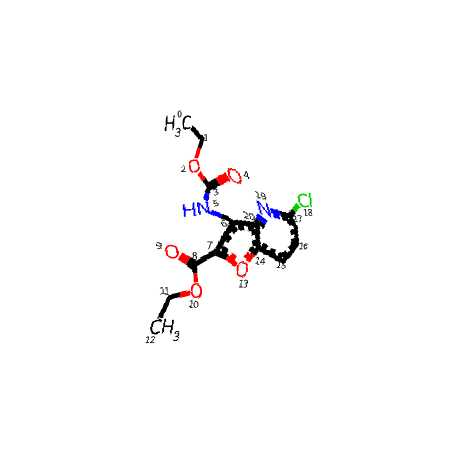 CCOC(=O)Nc1c(C(=O)OCC)oc2ccc(Cl)nc12